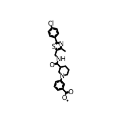 COC(=O)c1cccc(N2CCCC(C(=O)NCc3sc(-c4ccc(Cl)cc4)nc3C)C2)c1